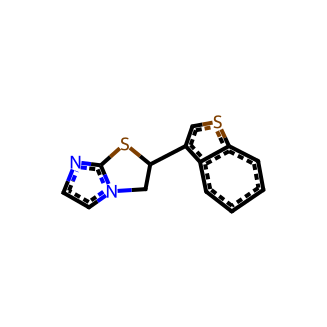 c1ccc2c(C3Cn4ccnc4S3)csc2c1